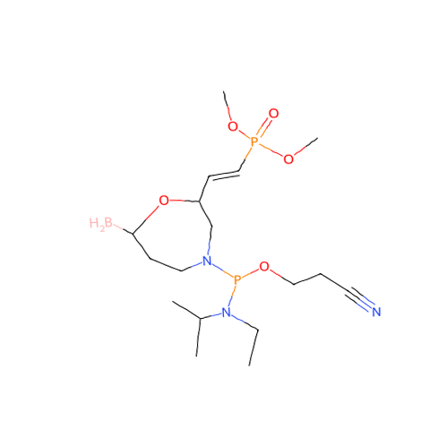 BC1CCN(P(OCCC#N)N(CC)C(C)C)CC(/C=C/P(=O)(OC)OC)O1